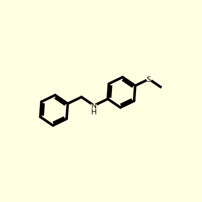 CSc1ccc(NCc2ccccc2)cc1